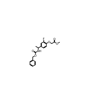 COC(=O)COc1ccc(C(C)NC(=O)OCc2ccccc2)cc1F